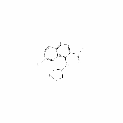 O=[N+]([O-])c1cnc2ccc(Br)cc2c1NC1CCNC1